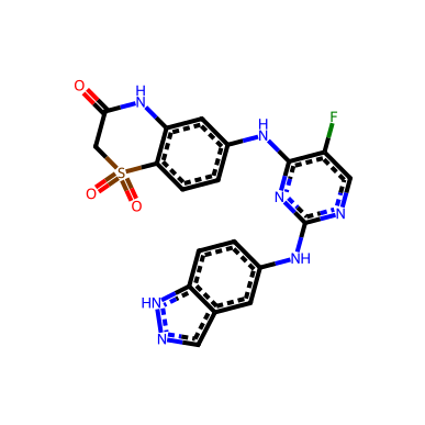 O=C1CS(=O)(=O)c2ccc(Nc3nc(Nc4ccc5[nH]ncc5c4)ncc3F)cc2N1